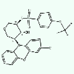 O=S(=O)(N[C@@H]1COC[C@H](N2c3ccccc3Oc3cc(Cl)ccc32)[C@H]1O)c1ccc(OC(F)(F)F)cc1